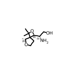 C[C@H]1OCCC12[C@H]([C@@H](N)CO)OC2(C)C